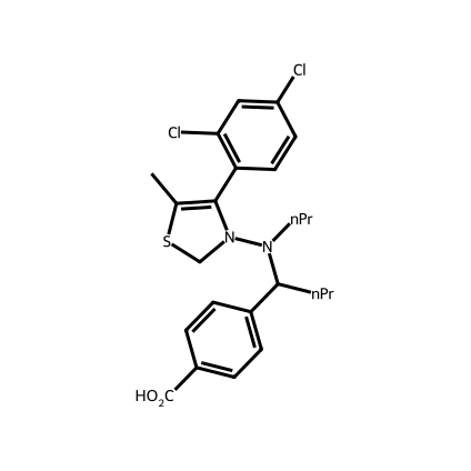 CCCC(c1ccc(C(=O)O)cc1)N(CCC)N1CSC(C)=C1c1ccc(Cl)cc1Cl